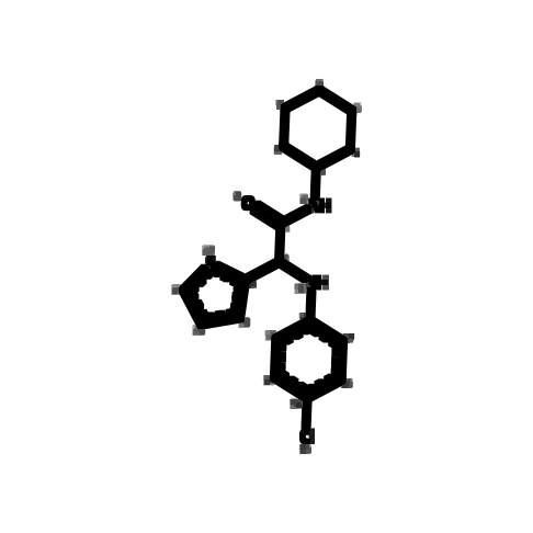 O=C(NC1CCCCC1)C(Nc1ccc(Cl)cc1)c1cccs1